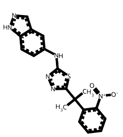 CC(C)(c1nnc(Nc2ccc3[nH]ncc3c2)s1)c1ccccc1[N+](=O)[O-]